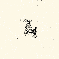 CNc1cc2cc(CC(O)(CC(C)(C)c3cc(F)cc4c3OCC4)C(F)(F)F)[nH]c2cn1